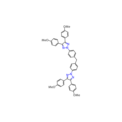 COc1ccc(-c2nn(-c3ccc(Cc4ccc(-n5nc(-c6ccc(OC)cc6)c(-c6ccc(OC)cc6)n5)cc4)cc3)nc2-c2ccc(OC)cc2)cc1